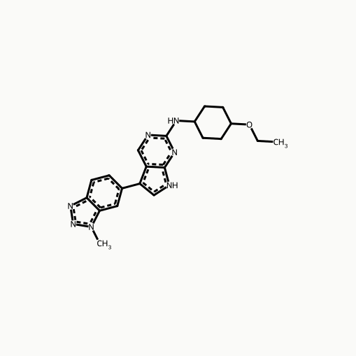 CCOC1CCC(Nc2ncc3c(-c4ccc5nnn(C)c5c4)c[nH]c3n2)CC1